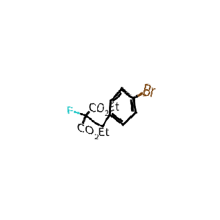 CCOC(=O)C(F)(Cc1ccc(Br)cc1)C(=O)OCC